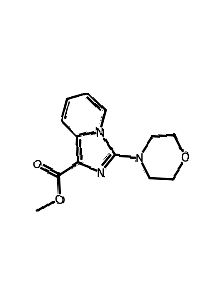 COC(=O)c1nc(N2CCOCC2)n2ccccc12